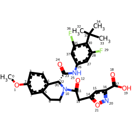 COc1ccc2c(c1)CCN(C(=O)Cc1cc(C(=O)O)no1)[C@H]2C(=O)Nc1cc(F)c(C(C)(C)C)c(F)c1